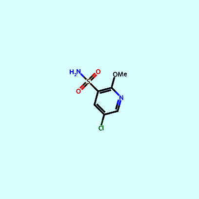 COc1ncc(Cl)cc1S(N)(=O)=O